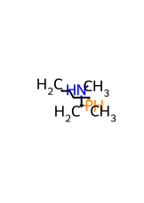 C=CCCC1(NC)C=[PH](C)C1=C